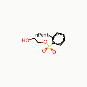 CCCCCc1ccccc1S(=O)(=O)OCCO